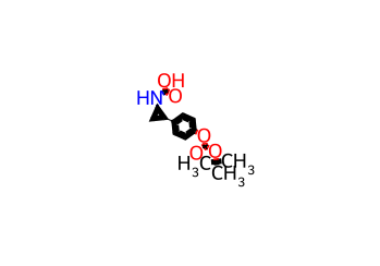 CC(C)(C)OC(=O)Oc1ccc([C@@H]2C[C@H]2NC(=O)O)cc1